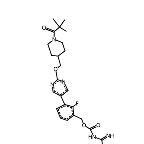 CC(C)(C)C(=O)N1CCC(COc2ncc(-c3cccc(COC(=O)NC(=N)N)c3F)cn2)CC1